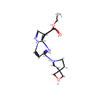 CCOC(=O)c1cnn2ccc(N3CCC4(COC4)C3)nc12